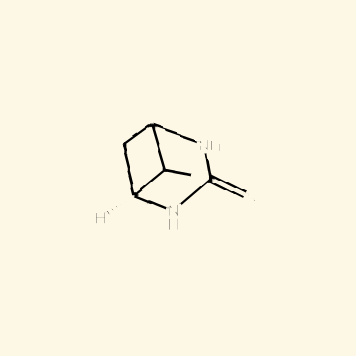 CC1C2C[C@@H]1NC(=S)N2